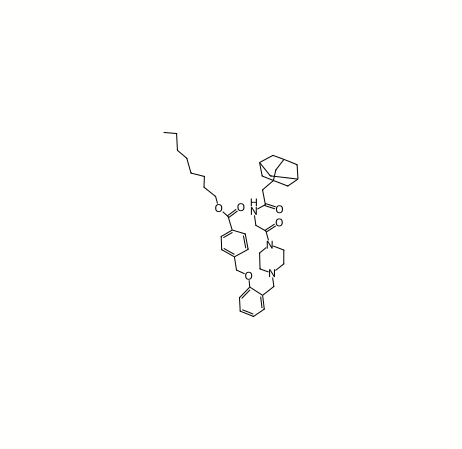 CCCCCCCCOC(=O)c1ccc(COc2ccccc2CN2CCN(C(=O)CNC(=O)CC34CC5CC(CC(C5)C3)C4)CC2)cc1